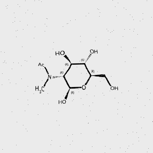 CC(=O)N(C)[C@@H]1[C@@H](O)[C@H](O)[C@@H](CO)O[C@H]1O